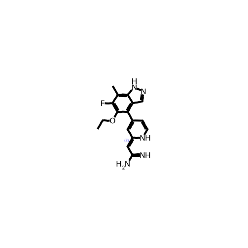 CCOc1c(F)c(C)c2[nH]ncc2c1C1=C/C(=C/C(=N)N)NC=C1